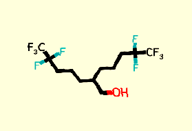 OCC(CCCC(F)(F)C(F)(F)F)CCCC(F)(F)C(F)(F)F